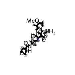 COc1c(C)cnc(CN2C(=O)/C(=C\c3nc(NC(=O)C4CCOCC4)c[nH]3)c3c(Cl)nc(N)nc32)c1C